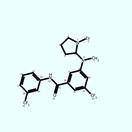 CCN1CCCC1N(C)c1cc(C(=O)Nc2cccc(C(F)(F)F)c2)cc(C(F)(F)F)c1